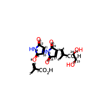 C=C(C)C(=O)O.C=C(C)C(=O)O.O=C1C=CC(=O)N1.O=C1C=CC(=O)N1.OCCO